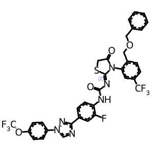 O=C(/N=C1\SCC(=O)N1c1cc(C(F)(F)F)ccc1COCc1ccccc1)Nc1ccc(-c2ncn(-c3ccc(OC(F)(F)F)cc3)n2)cc1F